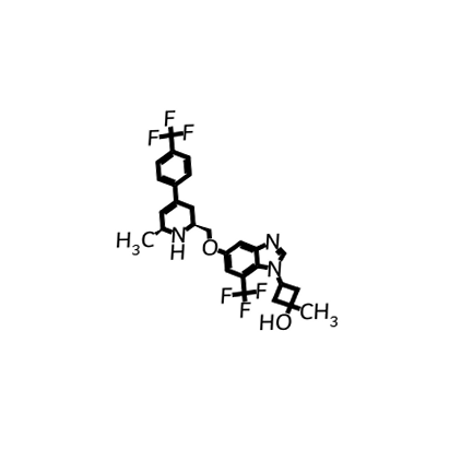 C[C@H]1C=C(c2ccc(C(F)(F)F)cc2)C[C@@H](COc2cc(C(F)(F)F)c3c(c2)ncn3C2CC(C)(O)C2)N1